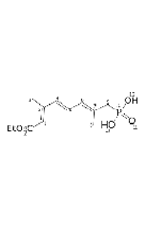 CCOC(=O)C=C(C)C=C/C=C(\C)CP(=O)(O)O